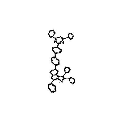 c1ccc(-c2cc(-c3ccccc3)nc(-c3ccc(-c4ccc(-c5ccc6cc(-c7ccccc7)n7nc(-c8ccccc8)c(-c8ccccc8)c7c6c5)cc4)cc3)n2)cc1